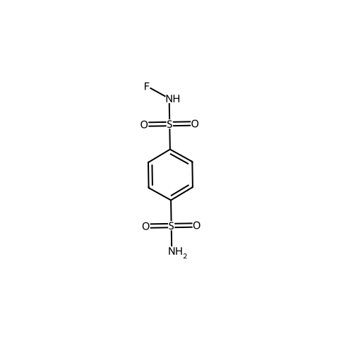 NS(=O)(=O)c1ccc(S(=O)(=O)NF)cc1